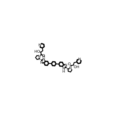 O=C(C(O)Cc1cccnc1)N1CCC[C@H]1c1nc2ccc(-c3ccc(-c4ccc5nc([C@@H]6CCCN6C(=O)C(O)Cc6cccnc6)[nH]c5c4)cc3)cc2[nH]1